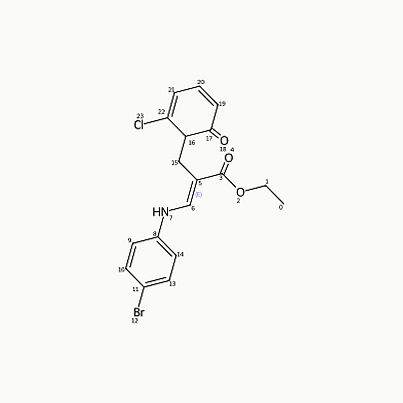 CCOC(=O)/C(=C/Nc1ccc(Br)cc1)CC1C(=O)C=CC=C1Cl